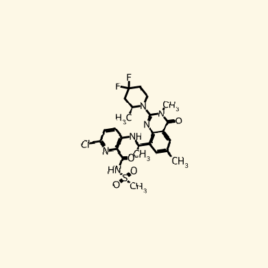 Cc1cc([C@@H](C)Nc2ccc(Cl)nc2C(=O)NS(C)(=O)=O)c2nc(N3CCC(F)(F)C[C@@H]3C)n(C)c(=O)c2c1